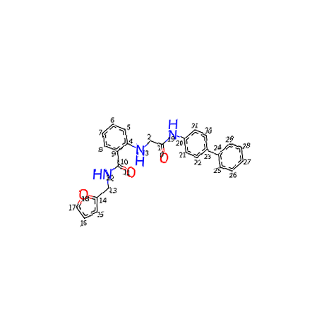 O=C(CNc1ccccc1C(=O)NCc1ccco1)Nc1ccc(-c2ccccc2)cc1